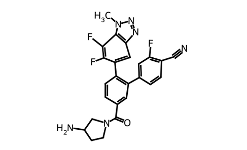 Cn1nnc2cc(-c3ccc(C(=O)N4CCC(N)C4)cc3-c3ccc(C#N)c(F)c3)c(F)c(F)c21